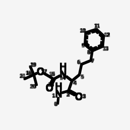 CNC(=O)C(CCCc1ccccc1)NC(=O)OC(C)(C)C